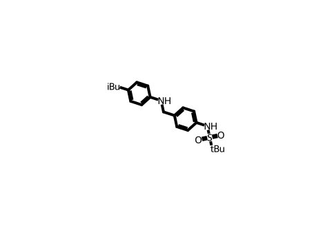 CCC(C)c1ccc(NCc2ccc(NS(=O)(=O)C(C)(C)C)cc2)cc1